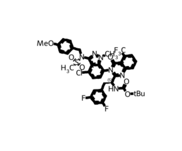 COc1ccc(CN(c2nn(C)c3c(-n4c([C@H](Cc5cc(F)cc(F)c5)NC(=O)OC(C)(C)C)nc5cccc(C(F)(F)F)c5c4=O)ccc(Cl)c23)S(C)(=O)=O)cc1